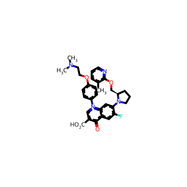 Cc1cccnc1OC[C@H]1CCCN1c1cc2c(cc1F)c(=O)c(C(=O)O)cn2-c1ccc(OCCN(C)C)cc1